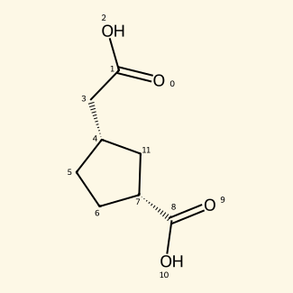 O=C(O)C[C@H]1CC[C@@H](C(=O)O)C1